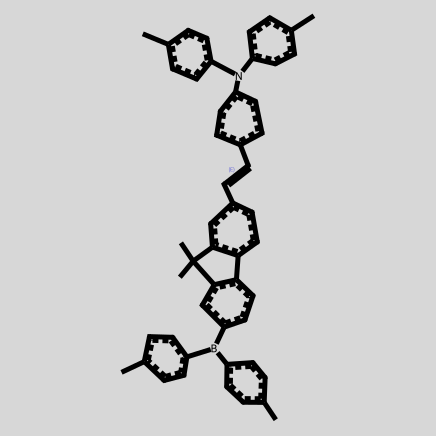 Cc1ccc(B(c2ccc(C)cc2)c2ccc3c(c2)C(C)(C)c2cc(/C=C/c4ccc(N(c5ccc(C)cc5)c5ccc(C)cc5)cc4)ccc2-3)cc1